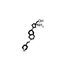 N[C@]1(CO)CC[C@H](c2ccc3c(c2)CC[C@H](CCc2ccncc2)C3)C1